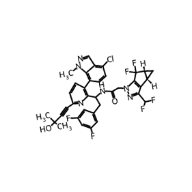 Cn1ncc2c(Cl)ccc(-c3ccc(C#CC(C)(C)O)nc3C(Cc3cc(F)cc(F)c3)NC(=O)Cn3nc(C(F)F)c4c3C(F)(F)[C@@H]3C[C@H]43)c21